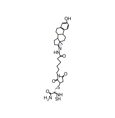 CC12CCC3c4ccc(O)cc4CCC3C1CC/C2=N\NC(=O)CCCCCN1C(=O)CC(SC[C@H](NS)C(N)=O)C1=O